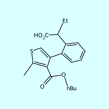 CCCCOC(=O)c1c(-c2ccccc2C(CC)C(=O)O)csc1C